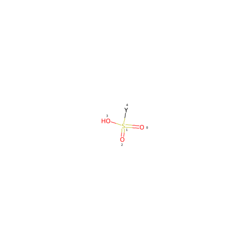 O=[S](=O)(O)[Y]